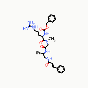 CC(C)C(CNC(=O)/C=C/c1ccccc1)NC(=O)CN(C)C(=O)C(CCCNC(=N)N)NC(=O)OCc1ccccc1